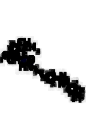 CCS/C(=N\C(=O)NCCCCc1ccc(-c2ncn(-c3ccc(C(F)(F)F)cc3)n2)cc1)Nc1cc(C)ccc1C(C)C